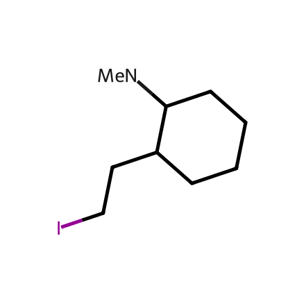 CNC1CCCCC1CCI